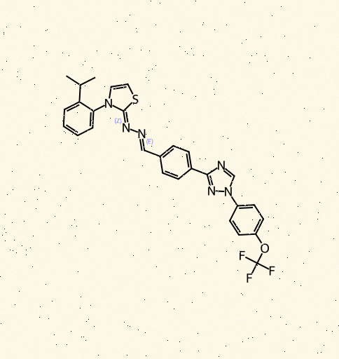 CC(C)c1ccccc1-n1ccs/c1=N\N=C\c1ccc(-c2ncn(-c3ccc(OC(F)(F)F)cc3)n2)cc1